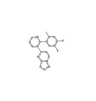 Cc1cc(F)c(F)cc1-c1ncccc1-c1ccn2nccc2n1